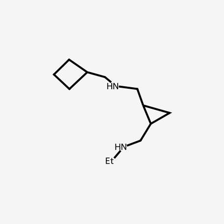 CCNCC1CC1CNCC1CCC1